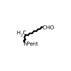 C=C(CC=CCCCCC)CCCCCCCCC=O